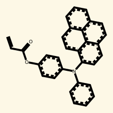 C=CC(=O)Oc1ccc(N(c2ccccc2)c2ccc3ccc4cccc5ccc2c3c45)cc1